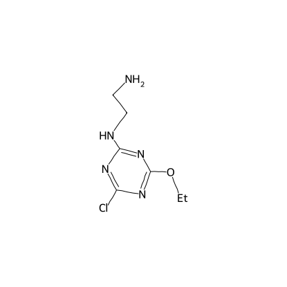 CCOc1nc(Cl)nc(NCCN)n1